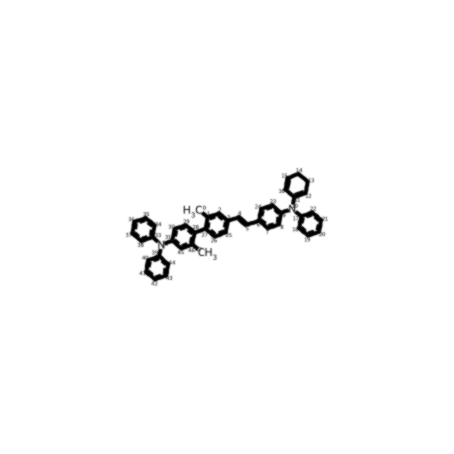 Cc1cc(/C=C/c2ccc(N(C3=CCCC=C3)c3ccccc3)cc2)ccc1-c1ccc(N(c2ccccc2)c2ccccc2)cc1C